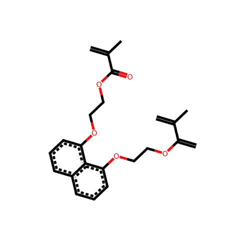 C=C(C)C(=C)OCCOc1cccc2cccc(OCCOC(=O)C(=C)C)c12